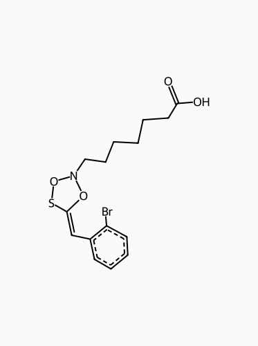 O=C(O)CCCCCCN1OSC(=Cc2ccccc2Br)O1